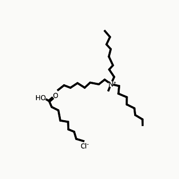 CCCCCCCCC(=O)O.CCCCCCCC[N+](C)(CCCCCCCC)CCCCCCCC.[Cl-]